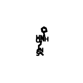 Cc1nc(CCC(=O)NNCc2ccccc2)cs1